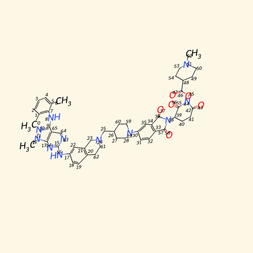 Cc1cccc(C)c1Nc1nn(C)c2nc(Nc3ccc4c(c3)CN(CC3CCN(c5ccc6c(c5)C(=O)N(C5CCC(=O)N(OC(=O)C7CCN(C)CC7)C5=O)C6=O)CC3)CC4)ncc12